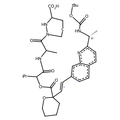 CC(NC(=O)C(OC(=O)C1(/C=C/c2ccc3ccc([C@@H](C)NC(=O)OC(C)(C)C)nc3c2)CCCCO1)C(C)C)C(=O)N1CCCC(C(=O)O)N1